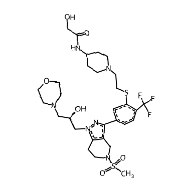 CS(=O)(=O)N1CCc2c(c(-c3ccc(C(F)(F)F)c(SCCN4CCC(NC(=O)CO)CC4)c3)nn2C[C@H](O)CN2CCOCC2)C1